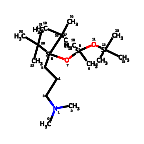 CN(C)CCC[Si](O[Si](C)(C)O[Si](C)(C)C)(C(C)(C)C)C(C)(C)C